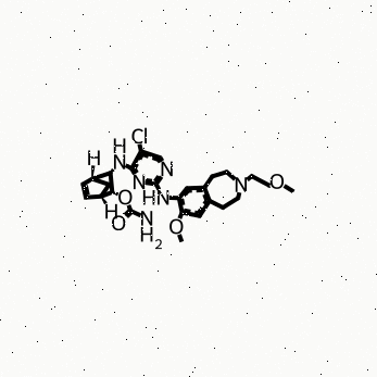 COCCN1CCc2cc(Nc3ncc(Cl)c(N[C@H]4[C@@H](OC(N)=O)[C@@H]5C=C[C@H]4C5)n3)c(OC)cc2CC1